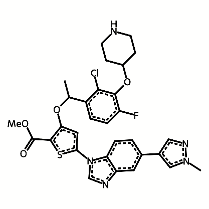 COC(=O)c1sc(-n2cnc3cc(-c4cnn(C)c4)ccc32)cc1OC(C)c1ccc(F)c(OC2CCNCC2)c1Cl